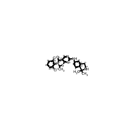 CC1Sc2nc(Nc3ccc4c(c3)CCNC4(C)C)ncc2C(=O)N1c1c(Cl)cccc1Cl